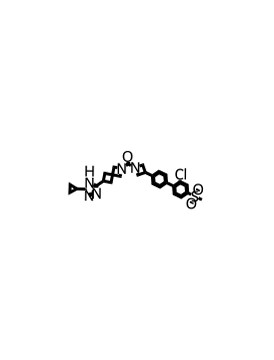 CS(=O)(=O)c1ccc(-c2ccc(C3CN(C(=O)N4CC5(CC(c6nnc(C7CC7)[nH]6)C5)C4)C3)cc2)c(Cl)c1